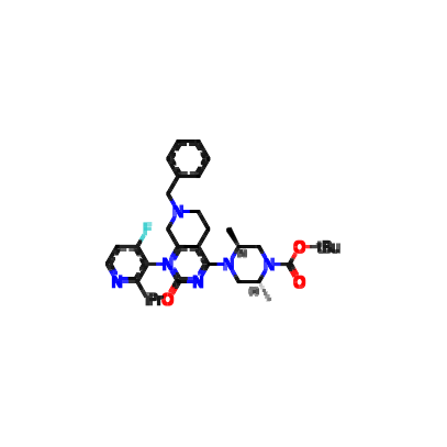 CC(C)c1nccc(F)c1-n1c2c(c(N3C[C@@H](C)N(C(=O)OC(C)(C)C)C[C@@H]3C)nc1=O)CCN(Cc1ccccc1)C2